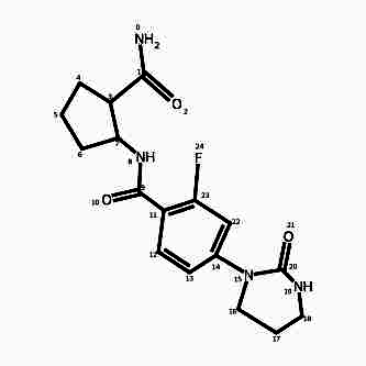 NC(=O)C1CCCC1NC(=O)c1ccc(N2CCCNC2=O)cc1F